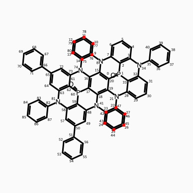 O=P12c3c4cccc3N(c3ccccc3)c3c5c6c(c(c31)N(c1ccccc1)c1cccc(c12)N4c1ccccc1)N(c1ccccc1)c1cc(-c2ccccc2)cc2c1P6(=O)c1c(cc(-c3ccccc3)cc1N5c1ccccc1)N2c1ccccc1